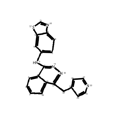 c1ccc2c(Nc3ccc4ncsc4c3)nnc(Cc3ccncc3)c2c1